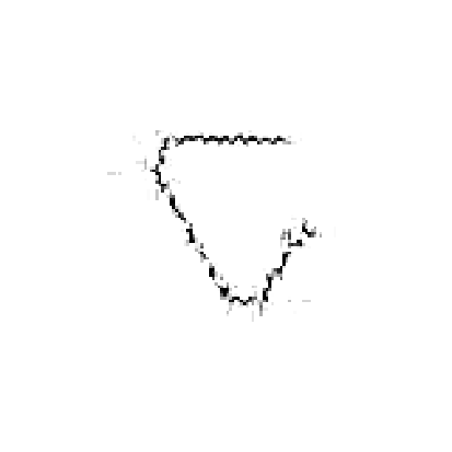 C[C@@H](O)[C@H](NC(=O)[C@H](CCCCNC(=O)CC[C@H](NC(=O)CC[C@H](NC(=O)COCCOCCNC(=O)COCCOCCNC(=O)CC[C@H](NC(=O)CC[C@H](NC(=O)CCCCCCCCCCCCCCCCC(=O)O)C(=O)O)C(=O)O)C(=O)O)C(=O)O)NI)C(N)=O